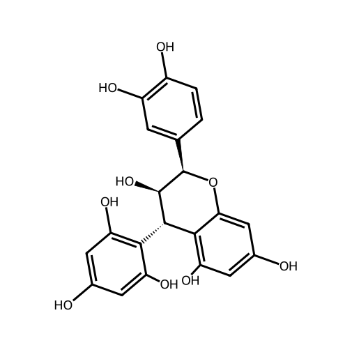 Oc1cc(O)c([C@H]2c3c(O)cc(O)cc3O[C@H](c3ccc(O)c(O)c3)[C@@H]2O)c(O)c1